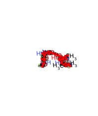 Cc1cc([C@@H](CCOCCOCCOc2ccc(-c3cnc4[nH]cc(C(=O)c5c(F)ccc(NS(=O)(=O)N6CC[C@@H](F)C6)c5F)c4c3)cc2)C(=O)N2C[C@H](O)C[C@H]2C(=O)N[C@@H](C)c2ccc(-c3scnc3C)cc2)on1